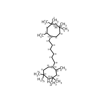 CC1CC(C)(C)NC(C)(C)CCN1CCCCCCN1CCC(C)(C)NC(C)(C)CC1C